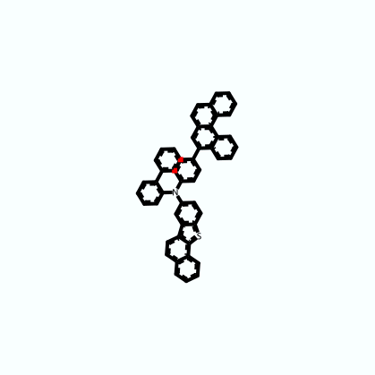 c1ccc(-c2ccccc2N(c2ccc(-c3cc4ccc5ccccc5c4c4ccccc34)cc2)c2ccc3sc4c5ccccc5ccc4c3c2)cc1